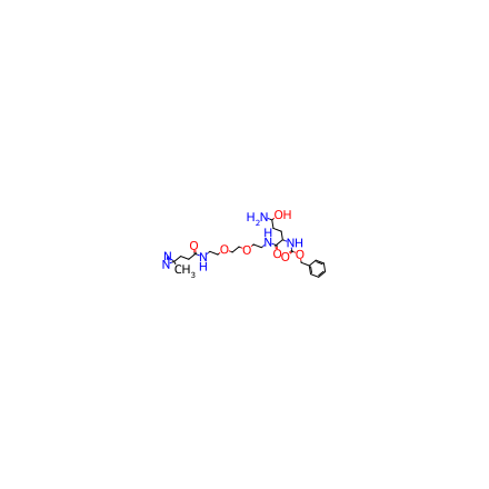 CC1(CCC(=O)NCCOCCOCCNC(=O)C(CCC(N)O)NC(=O)OCc2ccccc2)N=N1